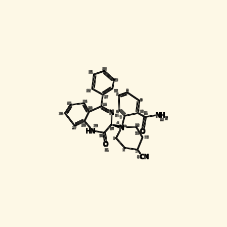 N#CC1CC[N+](c2ccccc2C(N)=O)([C@@H]2N=C(c3ccccc3)c3ccccc3NC2=O)CC1